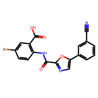 N#Cc1cccc(-c2cnc(C(=O)Nc3ccc(Br)cc3C(=O)O)o2)c1